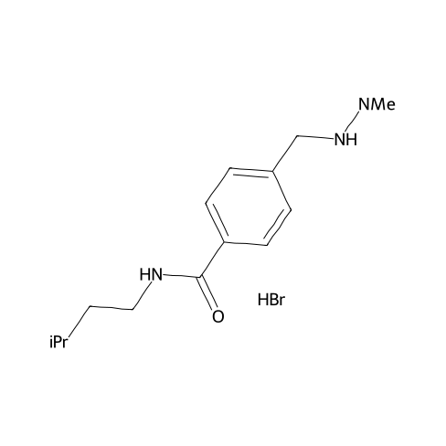 Br.CNNCc1ccc(C(=O)NCCC(C)C)cc1